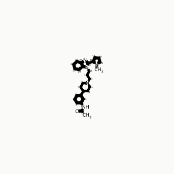 CC(=O)Nc1cccc(C2CCN(CCCn3c(-c4cccn4C)nc4ccccc43)CC2)c1